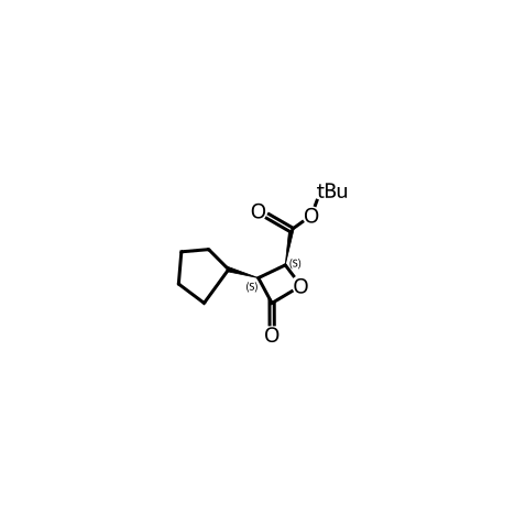 CC(C)(C)OC(=O)[C@H]1OC(=O)[C@H]1C1CCCC1